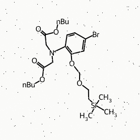 CCCCOC(=O)CN(CC(=O)OCCCC)c1ccc(Br)cc1OCOCC[Si](C)(C)C